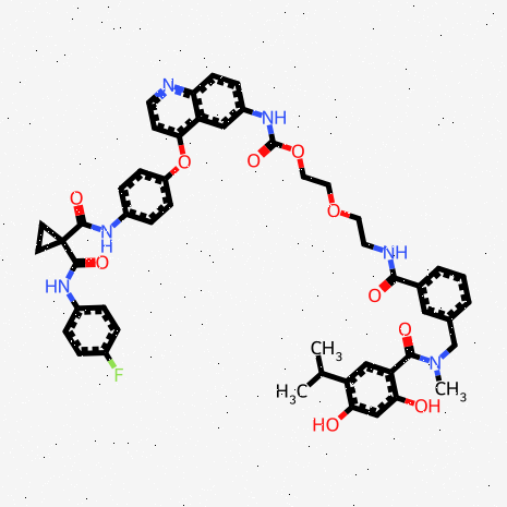 CC(C)c1cc(C(=O)N(C)Cc2cccc(C(=O)NCCOCCOC(=O)Nc3ccc4nccc(Oc5ccc(NC(=O)C6(C(=O)Nc7ccc(F)cc7)CC6)cc5)c4c3)c2)c(O)cc1O